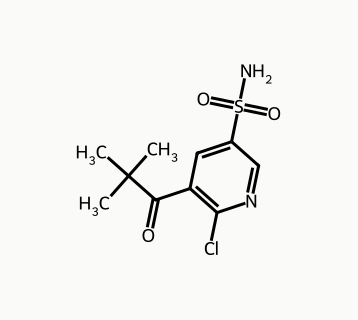 CC(C)(C)C(=O)c1cc(S(N)(=O)=O)cnc1Cl